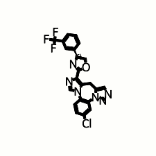 FC(F)(F)c1cccc([C@H]2COC(c3ncn4c3Cc3cnnn3-c3cc(Cl)ccc3-4)=N2)c1